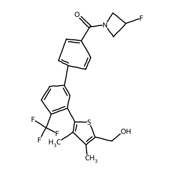 Cc1c(CO)sc(-c2cc(-c3ccc(C(=O)N4CC(F)C4)cc3)ccc2C(F)(F)F)c1C